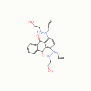 C=CCN(NCCO)c1ccc(N(CC=C)NCCO)c2c1C(=O)c1ccccc1C2=O